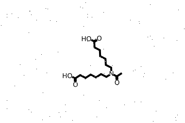 CC(=O)N(CCCCCCC(=O)O)CCCCCCC(=O)O